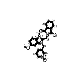 COc1ccc2c(c1)n(Cc1ccc[n+]([O-])c1)c(CN1C(=O)c3ccccc3C1=O)[n+]2C